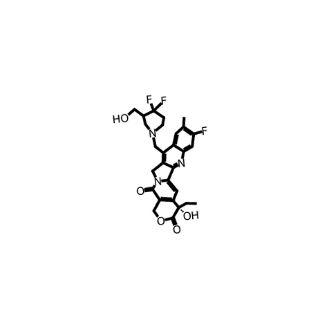 CC[C@@]1(O)C(=O)OCc2c1cc1n(c2=O)Cc2c-1nc1cc(F)c(C)cc1c2CN1CCC(F)(F)C(CO)C1